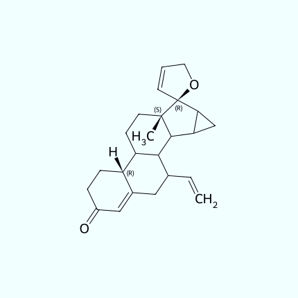 C=CC1CC2=CC(=O)CC[C@@H]2C2CC[C@@]3(C)C(C4CC4[C@@]34C=CCO4)C12